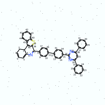 C1=CCC2C(=C1)N=C(c1ccc(-c3ccc(-c4nc(-c5ccccc5)cc(-c5ccccc5)n4)cc3)cc1)c1sc3ccccc3c12